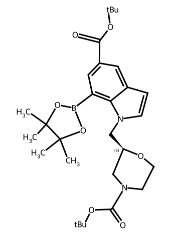 CC(C)(C)OC(=O)c1cc(B2OC(C)(C)C(C)(C)O2)c2c(ccn2C[C@@H]2CN(C(=O)OC(C)(C)C)CCO2)c1